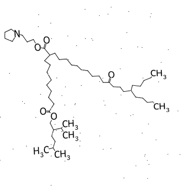 CCCCCC(CCCCC)CCCC(=O)CCCCCCCCCCC(CCCCCCCCC(=O)OCC(CCC(C)C)C(C)C)C(=O)OCCCN1CCCC1